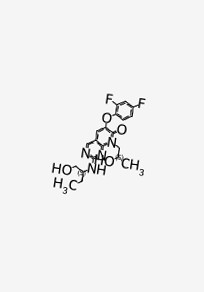 CC[C@@H](CO)Nc1ncc2cc(Oc3ccc(F)cc3F)c(=O)n(C[C@H](C)O)c2n1